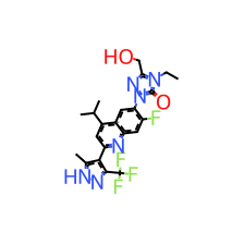 CCn1c(CO)nn(-c2cc3c(C(C)C)cc(-c4c(C(F)(F)F)n[nH]c4C)nc3cc2F)c1=O